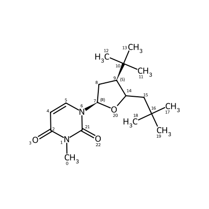 Cn1c(=O)ccn([C@H]2C[C@@H](C(C)(C)C)C(CC(C)(C)C)O2)c1=O